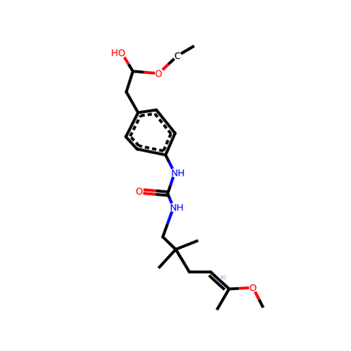 CCOC(O)Cc1ccc(NC(=O)NCC(C)(C)C/C=C(\C)OC)cc1